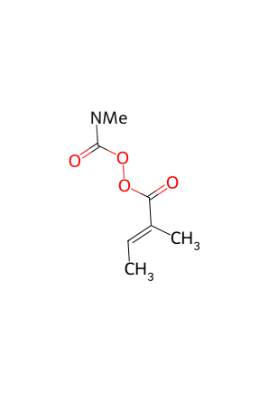 CC=C(C)C(=O)OOC(=O)NC